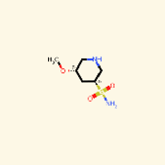 CO[C@@H]1CNC[C@@H](S(N)(=O)=O)C1